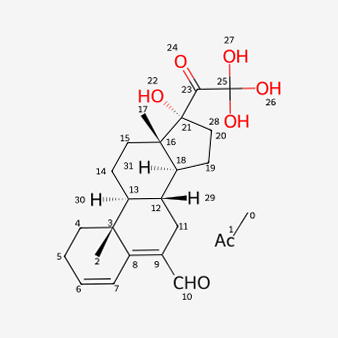 CC(C)=O.C[C@]12CCC=CC1=C(C=O)C[C@@H]1[C@@H]2CC[C@@]2(C)[C@H]1CC[C@]2(O)C(=O)C(O)(O)O